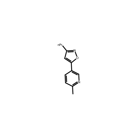 CCCc1cc(-c2ccc(C)nc2)on1